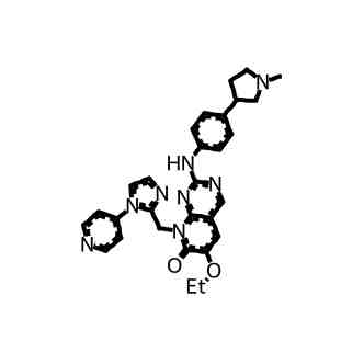 CCOc1cc2cnc(Nc3ccc(C4CCN(C)C4)cc3)nc2n(Cc2nccn2-c2ccncc2)c1=O